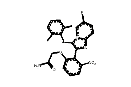 Cc1cccc(C)c1Nc1c(-c2c(OCC(N)=O)cccc2[N+](=O)[O-])nc2ccc(F)cn12